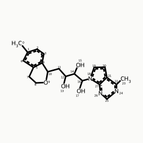 Cc1ccc2c(c1)CCOC2CC(O)C(O)C(O)n1ccc2c(C)ncnc21